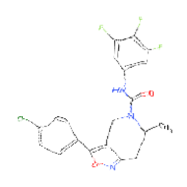 CC1Cc2noc(-c3ccc(Cl)cc3)c2CN1C(=O)Nc1cc(F)c(F)c(F)c1